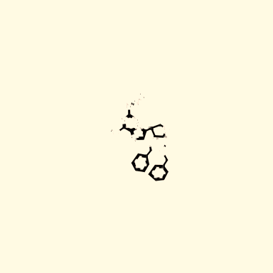 CCOc1nc(N=[N+]=[N-])nn2c([C@@]3(F)CO[C@H](COCc4ccccc4)[C@H]3OCc3ccccc3)cnc12